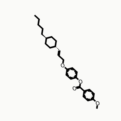 CCCCC[C@H]1CC[C@H](C=CCOc2ccc(OC(=O)c3ccc(OC)cc3)cc2)CC1